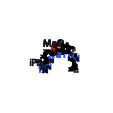 COc1cc(C)c(-n2cnc(C3CC3)c2)cc1C(=O)Nc1cccc(-c2nnnn2C(C)C)n1